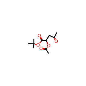 CC(=O)CC(OC(C)=O)C(=O)OC(C)(C)C